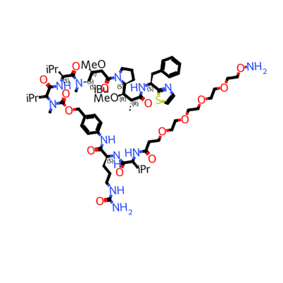 CC[C@H](C)[C@@H]([C@@H](CC(=O)N1CCC[C@H]1[C@H](OC)[C@@H](C)C(=O)N[C@@H](Cc1ccccc1)c1nccs1)OC)N(C)C(=O)[C@@H](NC(=O)C(C(C)C)N(C)C(=O)OCc1ccc(NC(=O)[C@H](CCCNC(N)=O)NC(=O)C(NC(=O)CCOCCOCCOCCOCCON)C(C)C)cc1)C(C)C